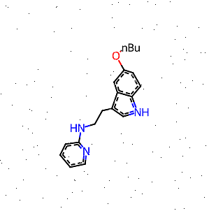 CCCCOc1ccc2[nH]cc(CCNc3ccccn3)c2c1